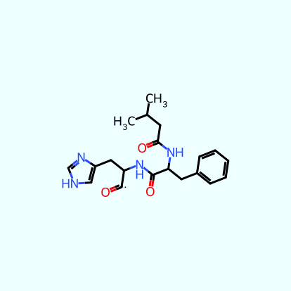 CC(C)CC(=O)NC(Cc1ccccc1)C(=O)NC([C]=O)Cc1c[nH]cn1